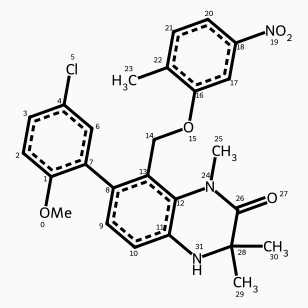 COc1ccc(Cl)cc1-c1ccc2c(c1COc1cc([N+](=O)[O-])ccc1C)N(C)C(=O)C(C)(C)N2